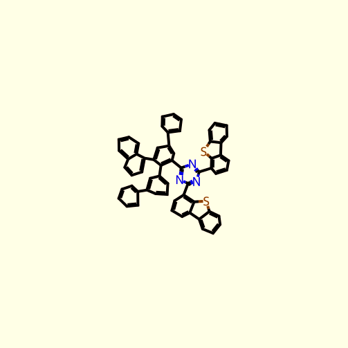 c1ccc(-c2cccc(-c3c(-c4nc(-c5cccc6c5sc5ccccc56)nc(-c5cccc6c5sc5ccccc56)n4)cc(-c4ccccc4)cc3-c3cccc4ccccc34)c2)cc1